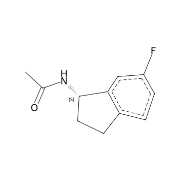 CC(=O)N[C@H]1CCc2ccc(F)cc21